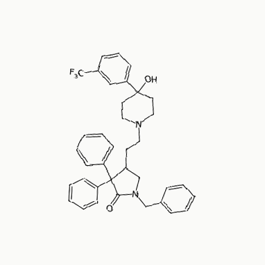 O=C1N(Cc2ccccc2)CC(CCN2CCC(O)(c3cccc(C(F)(F)F)c3)CC2)C1(c1ccccc1)c1ccccc1